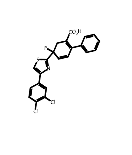 O=C(O)C1=C(c2ccccc2)C=CC(F)(c2nc(-c3ccc(Cl)c(Cl)c3)cs2)C1